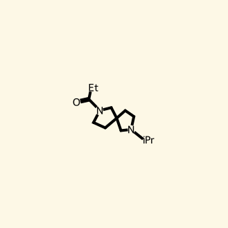 CCC(=O)N1CCC2(CCN(C(C)C)C2)C1